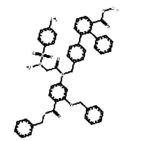 COC(=O)c1cccc(-c2ccc(CN(C(=O)CN(C)S(=O)(=O)c3ccc(C)cc3)c3ccc(C(=O)OCc4ccccc4)c(OCc4ccccc4)c3)cc2)c1-c1ccccc1